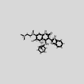 CN(C)CCN(C)c1cc2[nH]c(=O)c(-c3nc4ccccc4[nH]3)c(N[C@H]3CN4CCC3CC4)c2cc1F